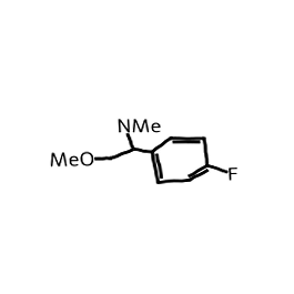 CNC(COC)c1ccc(F)cc1